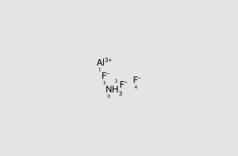 N.[Al+3].[F-].[F-].[F-]